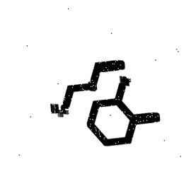 CCOC=O.O=C1CCCCC1Br